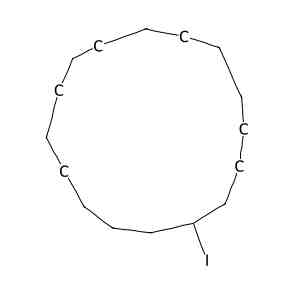 IC1CCCCCCCCCCCCCCC1